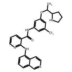 CC(Oc1cc(NC(=O)c2cccnc2Nc2cccc3cnccc23)cc(C(F)(F)F)c1)C1CCCN1